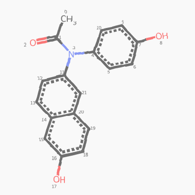 CC(=O)N(c1ccc(O)cc1)c1ccc2cc(O)ccc2c1